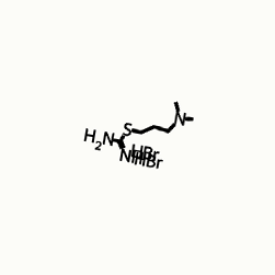 Br.Br.CN(C)CCCSC(=N)N